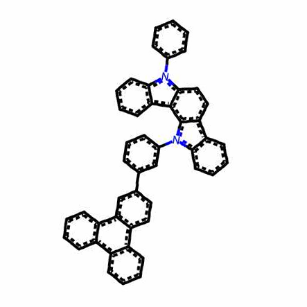 c1ccc(-n2c3ccccc3c3c2ccc2c4ccccc4n(-c4cccc(-c5ccc6c7ccccc7c7ccccc7c6c5)c4)c23)cc1